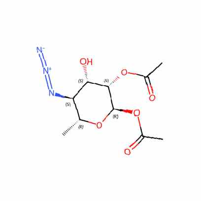 CC(=O)O[C@H]1O[C@H](C)[C@@H](N=[N+]=[N-])[C@H](O)[C@@H]1OC(C)=O